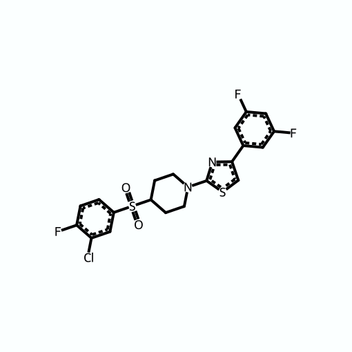 O=S(=O)(c1ccc(F)c(Cl)c1)C1CCN(c2nc(-c3cc(F)cc(F)c3)cs2)CC1